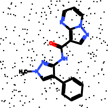 Cn1cc(-c2ccccc2)c(NC(=O)c2cnn3cccnc23)n1